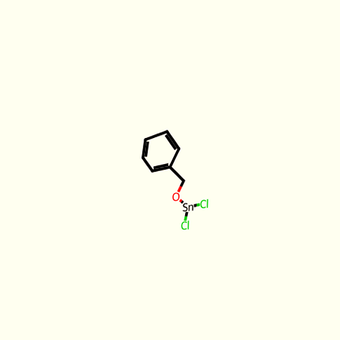 [Cl][Sn]([Cl])[O]Cc1ccccc1